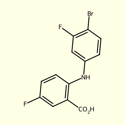 O=C(O)c1cc(F)ccc1Nc1ccc(Br)c(F)c1